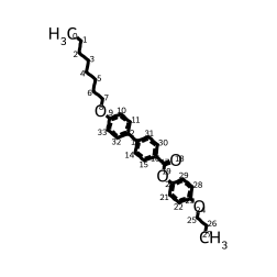 CCCCCCCCOc1ccc(-c2ccc(C(=O)Oc3ccc(OCCC)cc3)cc2)cc1